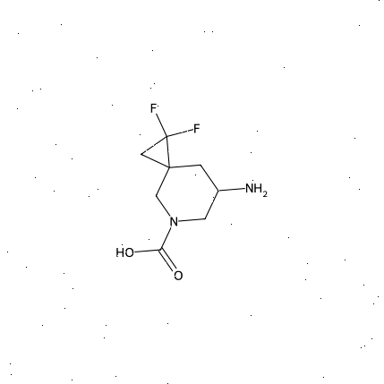 NC1CN(C(=O)O)CC2(C1)CC2(F)F